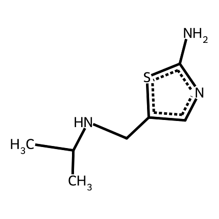 CC(C)NCc1cnc(N)s1